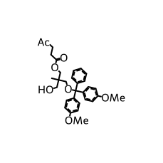 COc1ccc(C(OCC(C)(CO)COC(=O)CCC(C)=O)(c2ccccc2)c2ccc(OC)cc2)cc1